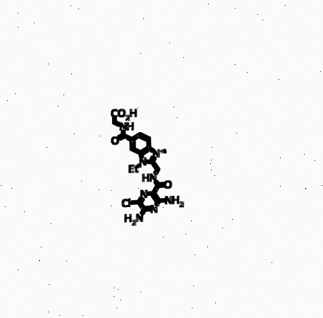 CCn1c(CNC(=O)c2nc(Cl)c(N)nc2N)[n+](C)c2ccc(C(=O)NCC(=O)O)cc21